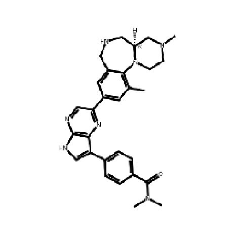 Cc1cc(-c2cnc3[nH]cc(-c4ccc(C(=O)N(C)C)cc4)c3n2)cc2c1N1CCN(C)C[C@@H]1CNC2